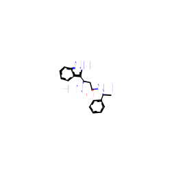 CC(NC(=O)CC(N)c1c[nH]c2ccccc12)c1ccccc1